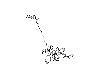 COC(C)CCCCCCCCCCCC(=O)NN(c1ccccc1)c1cc(=O)n(-c2c(Cl)cc(Cl)cc2Cl)[nH]1